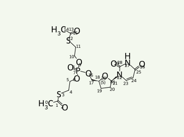 CC(=O)SCCOP(=O)(OCCSC(C)=O)OC[C@@H]1CC[C@H](n2ccc(=O)[nH]c2=O)O1